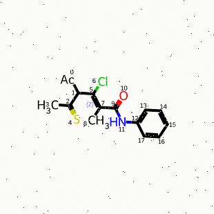 CC(=O)C(C(C)=S)/C(Cl)=C(\C)C(=O)Nc1ccccc1